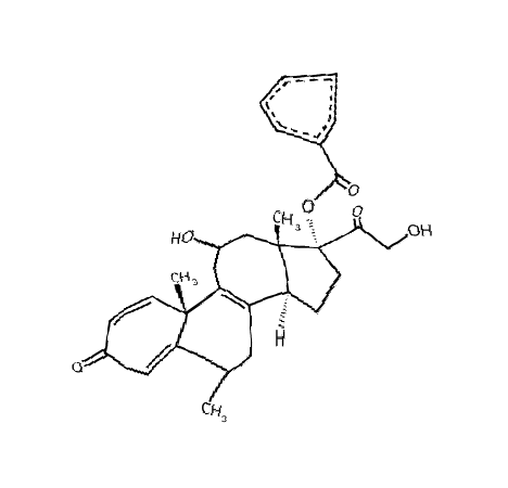 CC1CC2=C(C(O)C[C@@]3(C)[C@H]2CC[C@]3(OC(=O)c2ccccc2)C(=O)CO)[C@@]2(C)C=CC(=O)C=C12